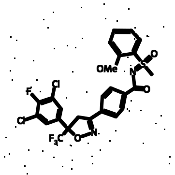 COc1ccccc1S(C)(=O)=NC(=O)c1ccc(C2=NOC(c3cc(Cl)c(F)c(Cl)c3)(C(F)(F)F)C2)cc1